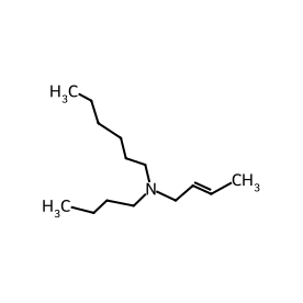 CC=CCN(CCCC)CCCCCC